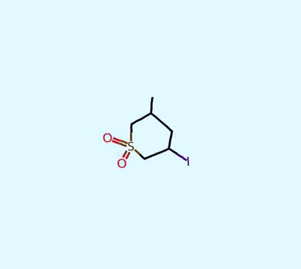 CC1CC(I)CS(=O)(=O)C1